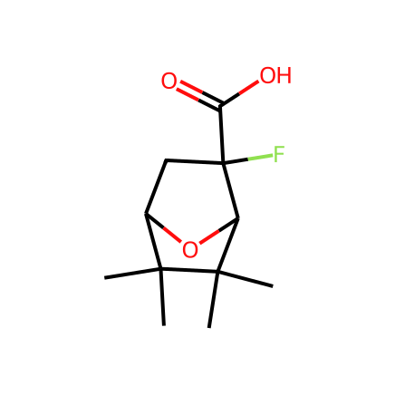 CC1(C)C2CC(F)(C(=O)O)C(O2)C1(C)C